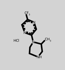 CC1CNCCN1c1cnc(C(F)(F)F)cn1.Cl